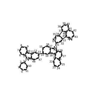 c1ccc(-n2c3ccccc3c3cc(-c4ccc5c(c4)c4c6ccccc6ccc4n5-c4cc5c(cn4)-c4cccc6ccnc-5c46)ccc32)cc1